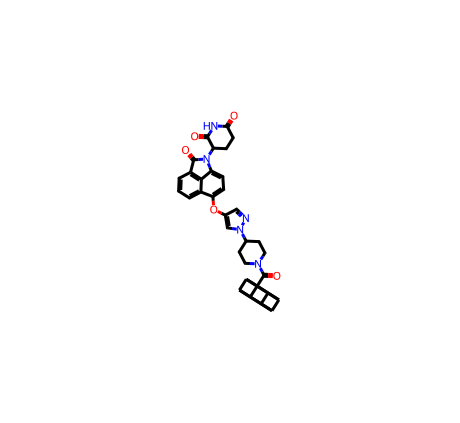 O=C1CCC(N2C(=O)c3cccc4c(Oc5cnn(C6CCN(C(=O)C78C9C%10C%11C9C7C%11C%108)CC6)c5)ccc2c34)C(=O)N1